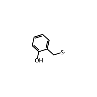 Oc1ccccc1C[S]